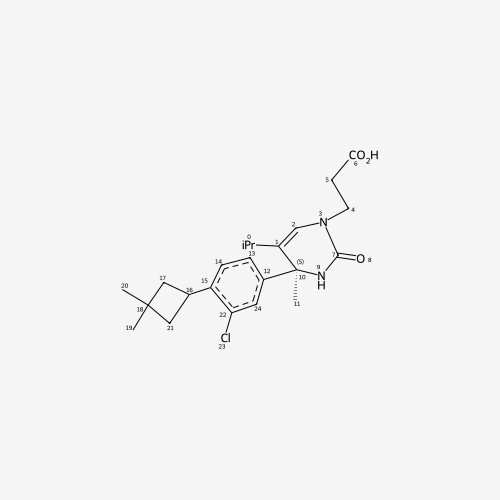 CC(C)C1=CN(CCC(=O)O)C(=O)N[C@@]1(C)c1ccc(C2CC(C)(C)C2)c(Cl)c1